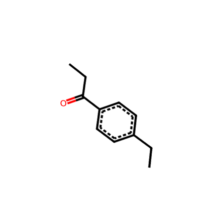 CCC(=O)c1ccc(CC)cc1